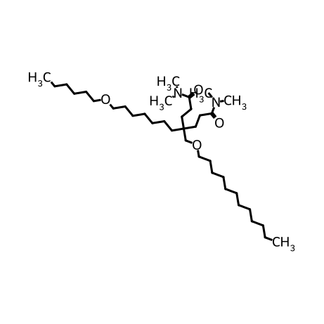 CCCCCCCCCCCCOCC(CCCCCCCOCCCCCC)(CCC(=O)N(C)C)CCC(=O)N(C)C